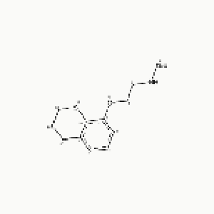 CC(C)(C)NCCOc1cccc2c1SCCC2